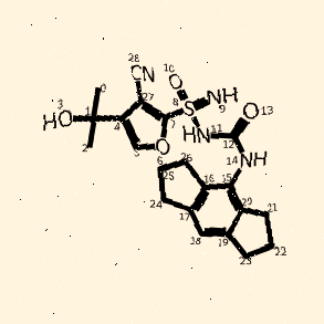 CC(C)(O)c1coc(S(=N)(=O)NC(=O)Nc2c3c(cc4c2CCC4)CCC3)c1C#N